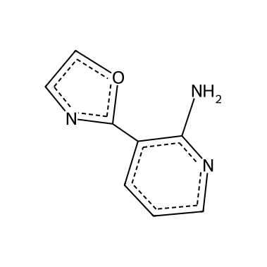 Nc1ncccc1-c1ncco1